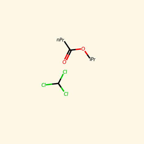 CCCC(=O)OC(C)C.ClC(Cl)Cl